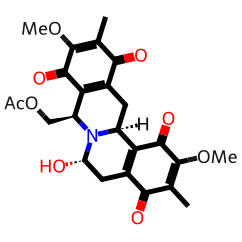 COC1=C(C)C(=O)C2=C(C1=O)[C@H](COC(C)=O)N1[C@@H](O)CC3=C(C(=O)C(OC)=C(C)C3=O)[C@@H]1C2